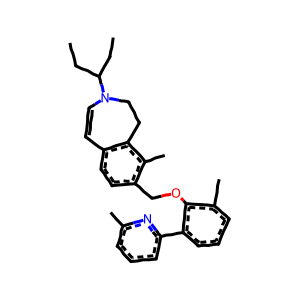 CCC(CC)N1C=Cc2ccc(COc3c(C)cccc3-c3cccc(C)n3)c(C)c2CC1